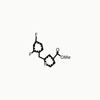 COC(=O)c1ccnc(Cc2ccc(F)cc2F)c1